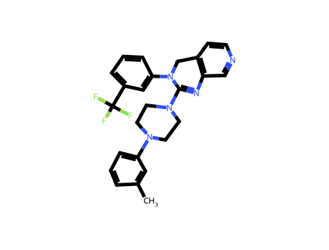 Cc1cccc(N2CCN(C3=Nc4cnccc4[CH]N3c3cccc(C(F)(F)F)c3)CC2)c1